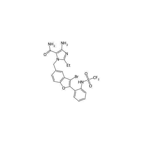 CCc1nc(N)c(C(N)=O)n1Cc1ccc2oc(-c3ccccc3NS(=O)(=O)C(F)(F)F)c(Br)c2c1